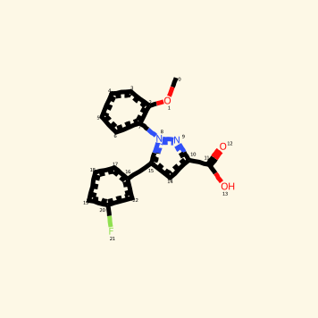 COc1ccccc1-n1nc(C(=O)O)cc1-c1cccc(F)c1